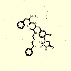 CC(=O)NC(Cc1ccccc1)C(=O)N[C@@H](Cc1ccc(N2CC(=O)NS2(=O)=O)c(Br)c1)C(=O)NCCCCc1ccccc1